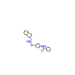 O=C(Nc1ccc(C2CC2NCc2ccc3ccccc3c2)cc1)c1ccccc1